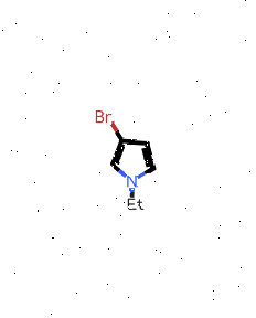 CCn1ccc(Br)c1